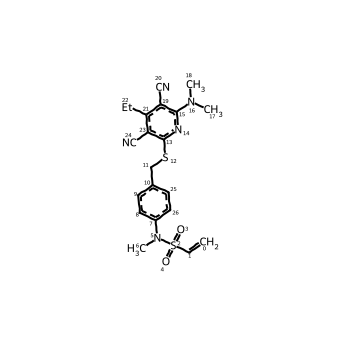 C=CS(=O)(=O)N(C)c1ccc(CSc2nc(N(C)C)c(C#N)c(CC)c2C#N)cc1